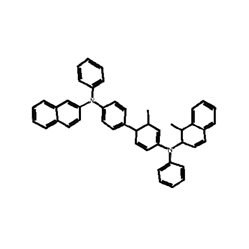 CC1C=C(N(c2ccccc2)C2C=Cc3ccccc3C2C)C=CC1c1ccc(N(c2ccccc2)c2ccc3ccccc3c2)cc1